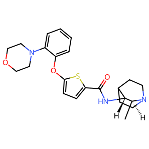 C[C@H]1[C@H](NC(=O)c2ccc(Oc3ccccc3N3CCOCC3)s2)C2CCN1CC2